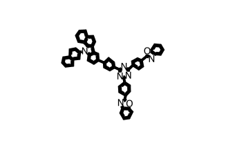 c1ccc2cc(-n3c4ccc(-c5ccc(-c6nc(-c7ccc(-c8nc9ccccc9o8)cc7)nc(-c7ccc(-c8nc9ccccc9o8)cc7)n6)cc5)cc4c4ccc5ccccc5c43)ccc2c1